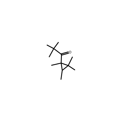 CC1C(C)(C)C1(C)C(=O)C(C)(C)C